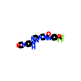 O=C(Nc1ccc(OC(F)(F)F)cc1)N1CCN(c2ccnc(Nc3ccc(N4CCOCC4)cc3)n2)CC1